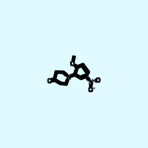 COC1C=CC([N+](=O)[O-])=CC1N1CCC(=O)CC1